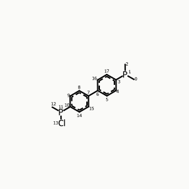 CP(C)c1ccc(-c2ccc(P(C)Cl)cc2)cc1